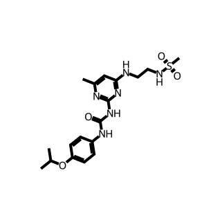 Cc1cc(NCCNS(C)(=O)=O)nc(NC(=O)Nc2ccc(OC(C)C)cc2)n1